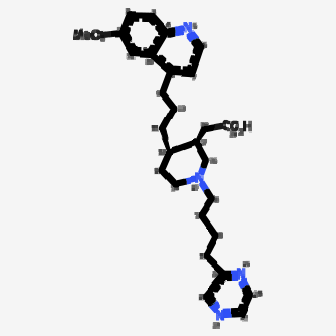 COc1ccc2nccc(CCC[C@@H]3CCN(CCCCc4cnccn4)C[C@@H]3CC(=O)O)c2c1